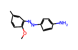 COc1ccc(C)cc1N=Nc1ccc(N)cc1